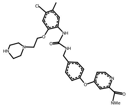 CNC(=O)c1cc(Oc2ccc(CNC(=O)Nc3cc(C)c(Cl)cc3OCCN3CCNCC3)cc2)ccn1